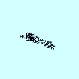 CC(C)(O)C(C)(C)OBc1ccc(CCCCc2ccc3c(c2)CC3)cc1